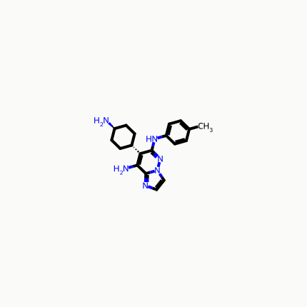 Cc1ccc(Nc2nn3ccnc3c(N)c2[C@H]2CC[C@H](N)CC2)cc1